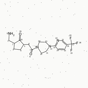 NCC1CCC(CC(=O)N2CCN(c3ccc(C(F)(F)F)cn3)CC2)C1=O